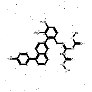 COc1ccc(CN=C(NC(=O)OC(C)(C)C)NC(=O)OC(C)(C)C)c(-c2ccc3c(-c4ccc(C(C)(C)C)cc4)cccc3c2)c1OC